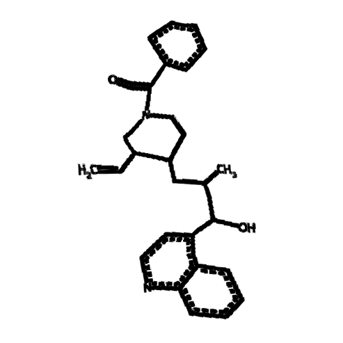 C=CC1CN(C(=O)c2ccccc2)CCC1CC(C)C(O)c1ccnc2ccccc12